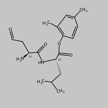 Cc1ccc(OC(=O)[C@H](CC(C)C)NC(=O)[C@@H](N)CC=O)c(C)c1